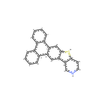 c1ccc2c(c1)c1ccccc1c1cc3c(cc21)sc1ccncc13